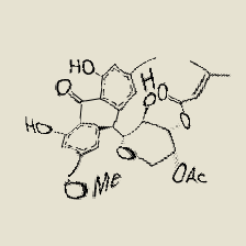 COc1cc(O)c2c(c1)[C@H]([C@H]1OC[C@@H](OC(C)=O)[C@@H](OC(=O)C=C(C)C)[C@@H]1O)c1cc(C)cc(O)c1C2=O